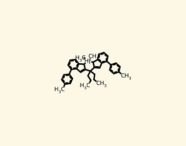 CCCC1(CCC)C2=Cc3c(-c4ccc(C)cc4)cccc3[CH]2[Hf]([CH3])([CH3])[CH]2C1=Cc1c(-c3ccc(C)cc3)cccc12